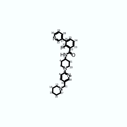 O=C(NC1CCN(c2ccc(CN3CCCCC3)cn2)CC1)c1cccc(-c2cccnc2)c1F